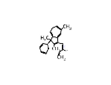 C=C/C(F)=C\C1=C(C)C(C)(C2C=CC=CC2)C2=CCC=C(C)C=C21